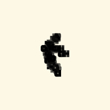 Cl.O=C(c1ncc(-c2ccncc2)cn1)N1CCN(S(=O)(=O)c2ccc3cc(Cl)ccc3c2)CC1CCO